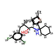 CCc1ccc(C2(NC[C@@H](O)[C@H](Cc3cc(F)cc(F)c3)NC(C)=O)CCCCC2)s1